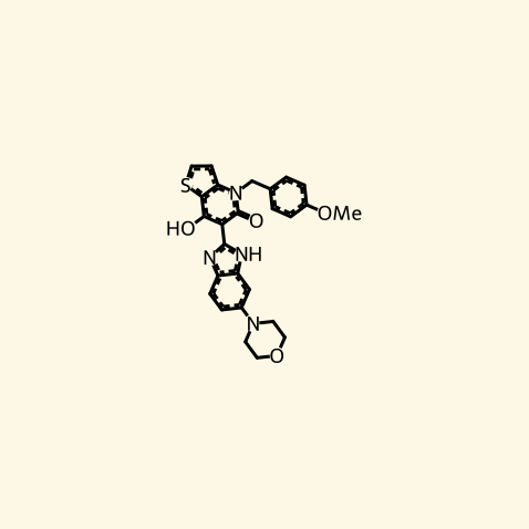 COc1ccc(Cn2c(=O)c(-c3nc4ccc(N5CCOCC5)cc4[nH]3)c(O)c3sccc32)cc1